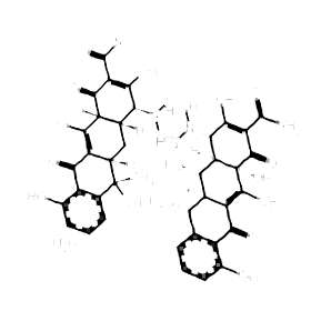 CN(C)[C@@H]1C(O)=C(C(N)=O)C(=O)[C@@]2(O)C(O)=C3C(=O)c4c(O)cccc4[C@@](C)(O)[C@H]3C[C@@H]12.C[C@H]1c2cccc(O)c2C(=O)C2=C(O)[C@]3(O)C(=O)C(C(N)=O)=C(O)[C@@H](N(C)C)[C@@H]3[C@@H](O)[C@@H]21.O